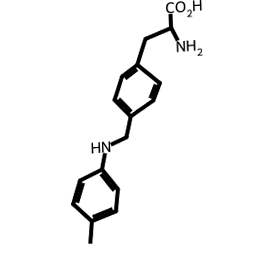 Cc1ccc(NCc2ccc(CC(N)C(=O)O)cc2)cc1